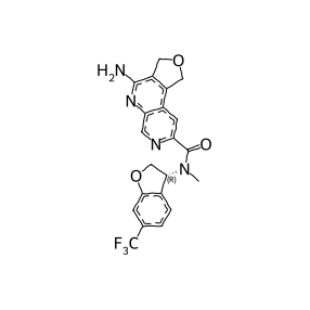 CN(C(=O)c1cc2c3c(c(N)nc2cn1)COC3)[C@H]1COc2cc(C(F)(F)F)ccc21